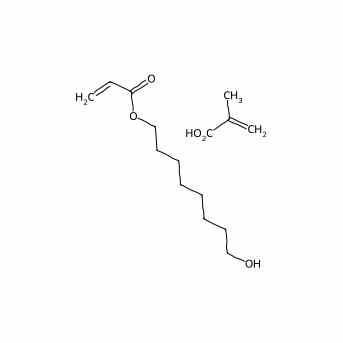 C=C(C)C(=O)O.C=CC(=O)OCCCCCCCCO